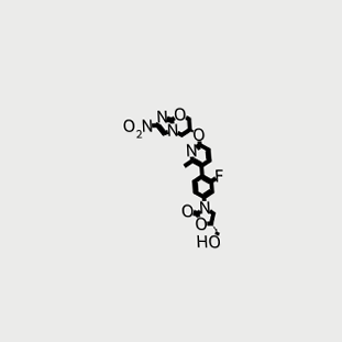 Cc1nc(O[C@@H]2COc3nc([N+](=O)[O-])cn3C2)ccc1-c1ccc(N2C[C@H](CO)OC2=O)cc1F